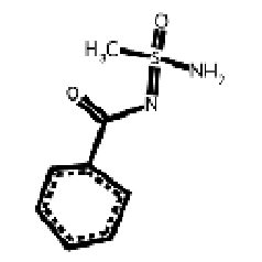 CS(N)(=O)=NC(=O)c1ccccc1